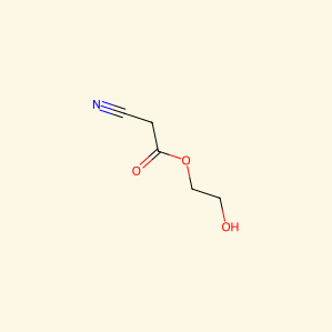 N#CCC(=O)OCCO